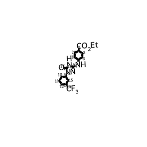 CCOC(=O)c1ccc(Nc2nn(-c3cccc(C(F)(F)F)c3)c(=O)[nH]2)cc1